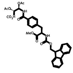 COC(=O)C(Cc1ccc(C(=O)N[C@H](OC(C)=O)[C@@H](OC(C)=O)C(=O)O)cc1)NC(=O)OCC1c2ccccc2-c2ccccc21